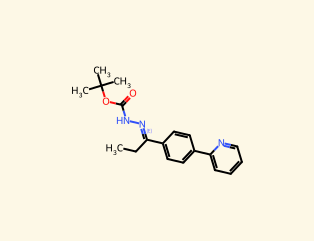 CC/C(=N\NC(=O)OC(C)(C)C)c1ccc(-c2ccccn2)cc1